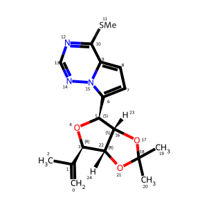 C=C(C)[C@H]1O[C@@H](c2ccc3c(SC)ncnn23)[C@@H]2OC(C)(C)O[C@@H]21